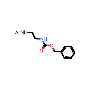 CC(=O)[N]CCNC(=O)OCc1ccccc1